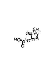 Cn1nccc(OCC(=O)O)c1=O